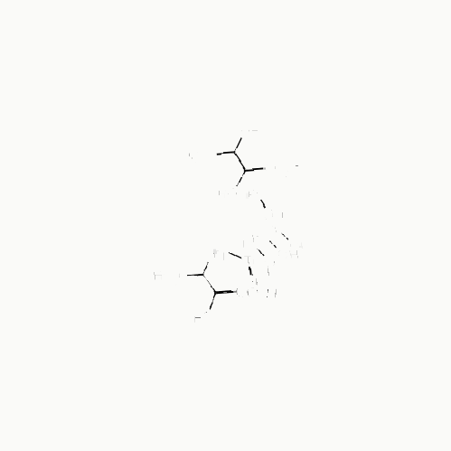 CC(C)O.CC(C)O.CC(C)O.CC(C)O.C[CH](C)[Ti][CH](C)C.O=C(O)C(O)C(O)C(=O)O.O=C(O)C(O)C(O)C(=O)O